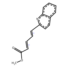 COC(=O)/C=C/C=C/c1ccc2ccccc2n1